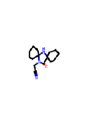 N#CCN1C(=O)C2(CCCCC2)NC12CCCCC2